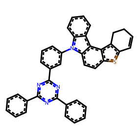 C1=Cc2sc3ccc4c(c5ccccc5n4-c4cccc(-c5nc(-c6ccccc6)nc(-c6ccccc6)n5)c4)c3c2CC1